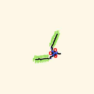 C=CCn1c(=O)n(C/C=C/C(F)(F)C(F)(F)C(F)(F)C(F)(F)C(F)(F)C(F)(F)C(F)(F)C(F)(F)F)c(=O)n(C/C=C/C(F)(F)C(F)(F)C(F)(F)C(F)(F)C(F)(F)C(F)(F)C(F)(F)C(F)(F)F)c1=O